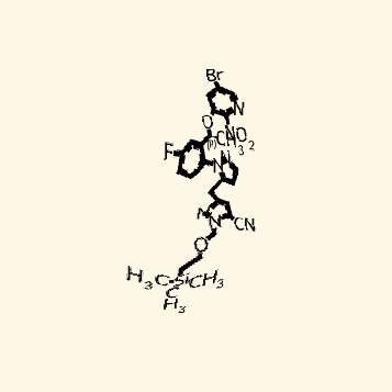 C[C@@H](Oc1cc(Br)cnc1[N+](=O)[O-])c1cc(F)ccc1-n1nccc1Cc1cc(C#N)n(COCC[Si](C)(C)C)n1